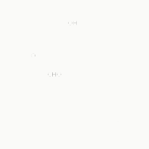 O=CC1OC=CC(O)=C1C(C=Cc1ccccc1)c1ccccc1